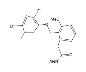 CCc1cc(Cl)c(OCc2c(CC(=O)NC)cccc2OC)cc1C